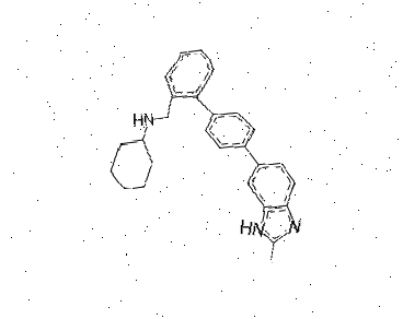 Cc1nc2ccc(-c3ccc(-c4ccccc4CNC4CCCCC4)cc3)cc2[nH]1